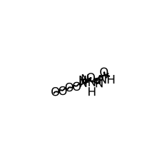 COCCOCCOCCOCCn1cc(C(=O)Nc2cnc3[nH]c(C(=O)C(C)(C)C)cc3c2)nn1